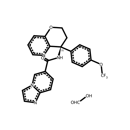 O=C(N[C@]1(c2ccc(OC(F)(F)F)cc2)CCOc2cccnc21)c1ccc2nccn2c1.O=CO